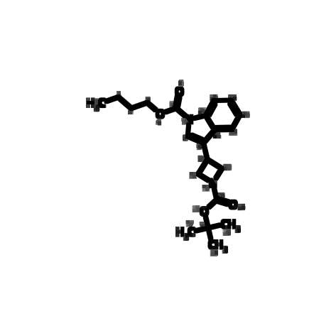 CCCCOC(=O)n1cc(C2CN(C(=O)OC(C)(C)C)C2)c2ccccc21